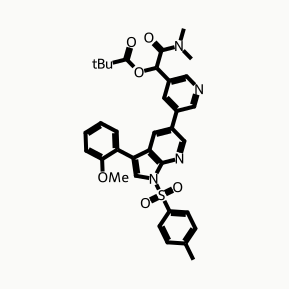 COc1ccccc1-c1cn(S(=O)(=O)c2ccc(C)cc2)c2ncc(-c3cncc(C(OC(=O)C(C)(C)C)C(=O)N(C)C)c3)cc12